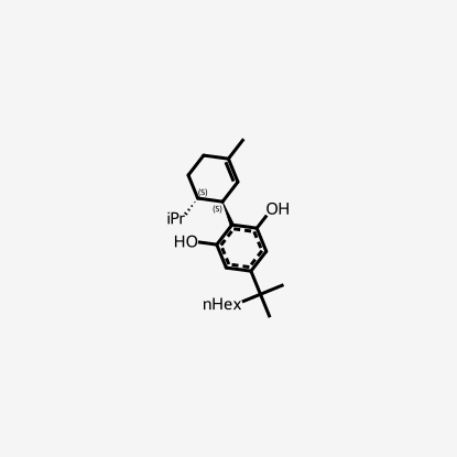 CCCCCCC(C)(C)c1cc(O)c([C@@H]2C=C(C)CC[C@H]2C(C)C)c(O)c1